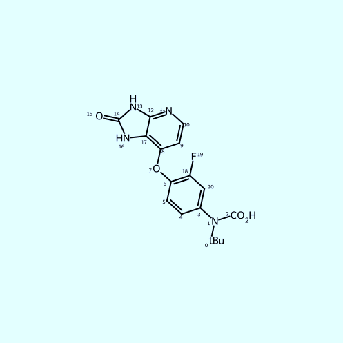 CC(C)(C)N(C(=O)O)c1ccc(Oc2ccnc3[nH]c(=O)[nH]c23)c(F)c1